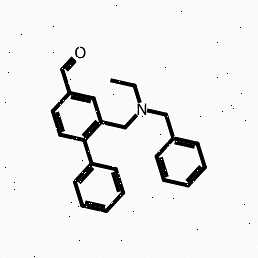 CCN(Cc1ccccc1)Cc1cc(C=O)ccc1-c1ccccc1